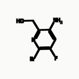 Nc1cc(F)c(Br)nc1CO